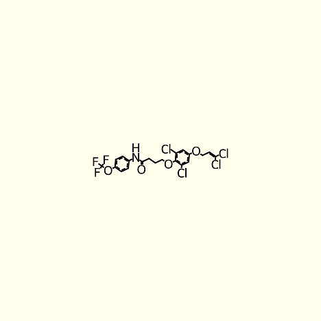 O=C(CCCOc1c(Cl)cc(OCC=C(Cl)Cl)cc1Cl)Nc1ccc(OC(F)(F)F)cc1